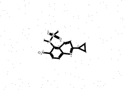 CN(c1c([N+](=O)[O-])ccc2nc(C3CC3)ccc12)S(C)(=O)=O